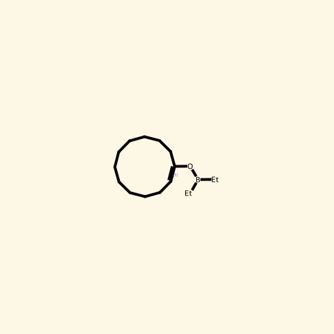 CCB(CC)O/C1=C/CCCCCCCCCC1